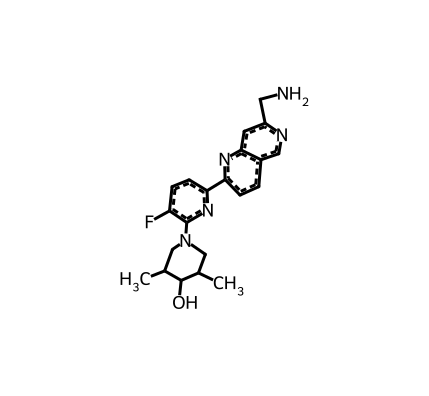 CC1CN(c2nc(-c3ccc4cnc(CN)cc4n3)ccc2F)CC(C)C1O